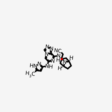 Cc1cc(Nc2cn3cnnc3c(N[C@@H]3C[C@H]4CC[C@@H](C3)N4CCC#N)n2)n[nH]1